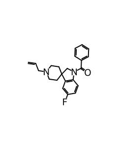 C=CCN1CCC2(CC1)CN(C(=O)c1ccccc1)c1ccc(F)cc12